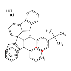 Cc1cc([O][Ti](=[C](c2ccccc2)c2ccccc2)[C]2(c3ccccc3)C=CC=C3C2=Cc2ccccc23)cc(C(C)(C)C)c1.Cl.Cl